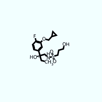 CC[C@@](O)(CNS(=O)(=O)CCCO)c1ccc(F)c(OCC2CC2)c1